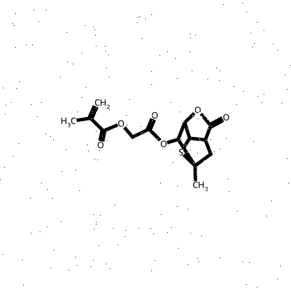 C=C(C)C(=O)OCC(=O)OC1C2OC(=O)C3CC1(C)SC32